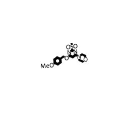 COc1ccc(COc2cc(N3CCOCC3)nc(S(C)(=O)=O)n2)cc1